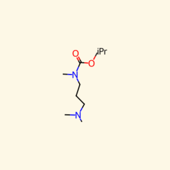 CC(C)OC(=O)N(C)CCCN(C)C